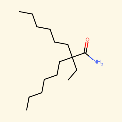 CCCCCCC(CC)(CCCCCC)C(N)=O